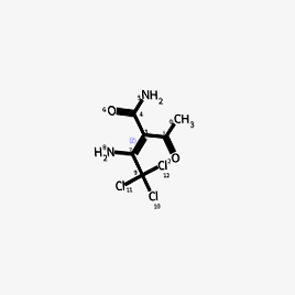 CC(=O)/C(C(N)=O)=C(/N)C(Cl)(Cl)Cl